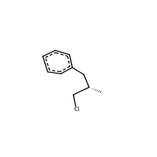 C[C@H](CCl)Cc1ccccc1